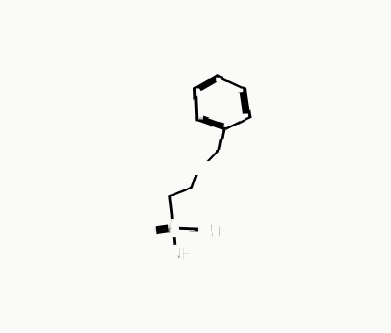 NP(=O)(O)CCOCc1ccccc1